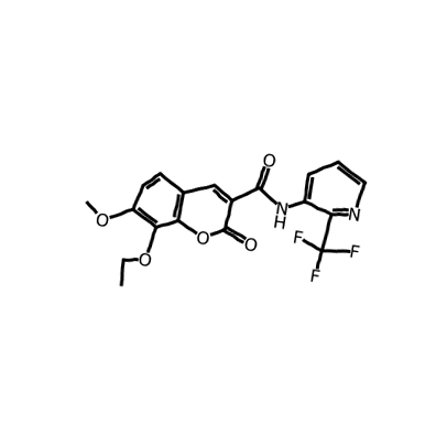 CCOc1c(OC)ccc2cc(C(=O)Nc3cccnc3C(F)(F)F)c(=O)oc12